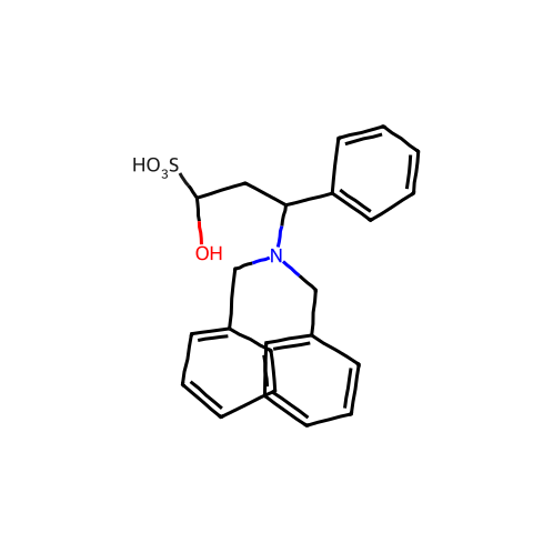 O=S(=O)(O)C(O)CC(c1ccccc1)N(Cc1ccccc1)Cc1ccccc1